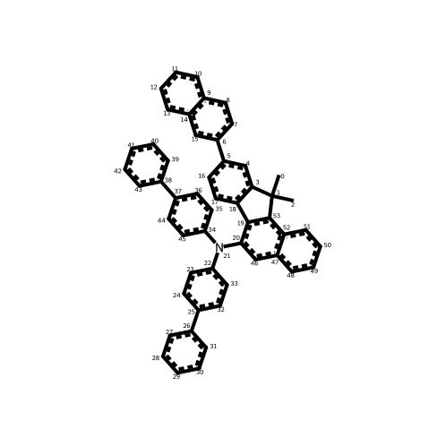 CC1(C)c2cc(-c3ccc4ccccc4c3)ccc2-c2c(N(c3ccc(-c4ccccc4)cc3)c3ccc(-c4ccccc4)cc3)cc3ccccc3c21